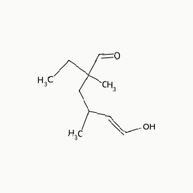 CCC(C)(C=O)CC(C)C=CO